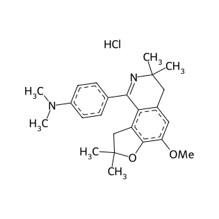 COc1cc2c(c3c1OC(C)(C)C3)C(c1ccc(N(C)C)cc1)=NC(C)(C)C2.Cl